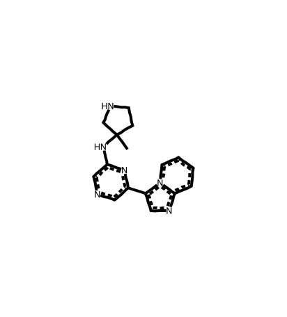 CC1(Nc2cncc(-c3cnc4ccccn34)n2)CCNC1